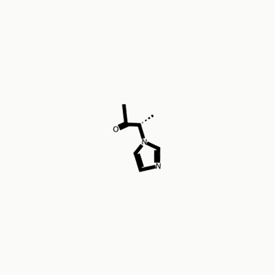 CC(=O)[C@H](C)n1ccnc1